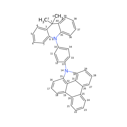 CC1(C)c2ccccc2N(c2ccc(-n3c4cccc5c6ccccc6c6cccc3c6c54)cc2)c2ccccc21